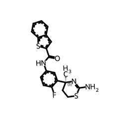 C[C@@]1(c2cc(NC(=O)c3cc4ccccc4s3)ccc2F)CCSC(N)=N1